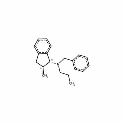 CCCN(Cc1ccccc1)[C@H]1c2ccccc2C[C@@H]1C